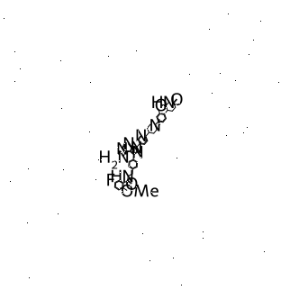 COc1ccc(F)cc1C(=O)NCc1ccc(-c2nn(-c3ccc(C4CCN(c5ccc(C6CCC(=O)NC6=O)c(C)c5)CC4)nc3)c3ncnc(N)c23)cc1